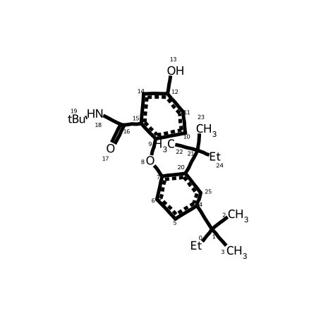 CCC(C)(C)c1ccc(Oc2ccc(O)cc2C(=O)NC(C)(C)C)c(C(C)(C)CC)c1